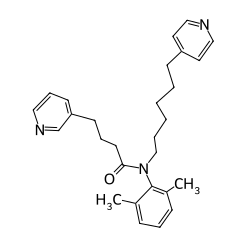 Cc1cccc(C)c1N(CCCCCCc1ccncc1)C(=O)CCCc1cccnc1